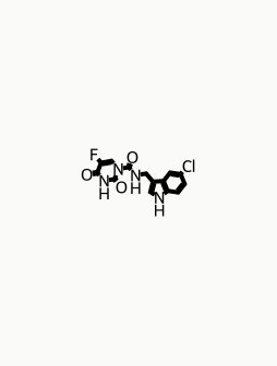 O=C(NCc1c[nH]c2ccc(Cl)cc12)n1cc(F)c(=O)[nH]c1=O